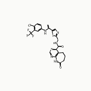 C=C(Nc1ccc(Cl)c(C(F)(F)F)c1)c1cnc(CNC(=O)c2ncnc3c2CCCC(=O)N3)s1